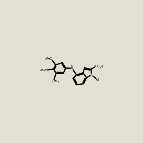 COc1cc(Nc2cccc3c2cc(C(=O)O)n3Cl)cc(OC)c1OC